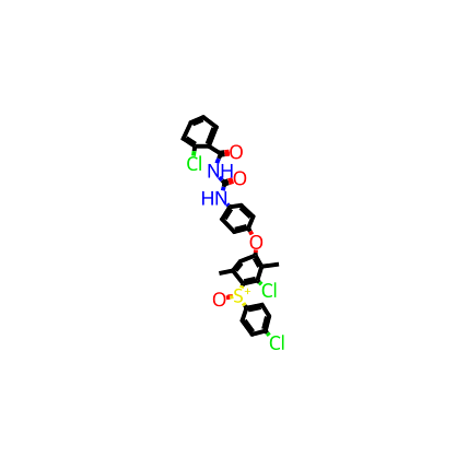 Cc1cc(Oc2ccc(NC(=O)NC(=O)c3ccccc3Cl)cc2)c(C)c(Cl)c1[S+]([O-])c1ccc(Cl)cc1